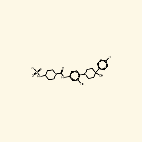 Cc1cc(NC(=O)N2CCC(NS(=O)(=O)C(C)C)CC2)ccc1N1CCC(O)(c2ccc(Cl)cc2)CC1